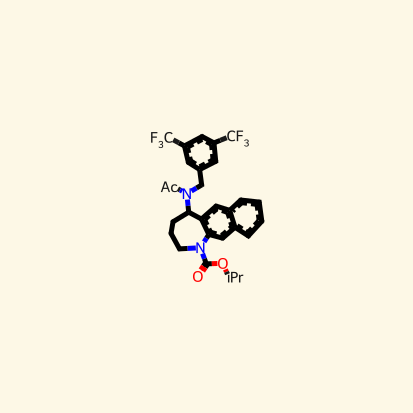 CC(=O)N(Cc1cc(C(F)(F)F)cc(C(F)(F)F)c1)C1CCCN(C(=O)OC(C)C)c2cc3ccccc3cc21